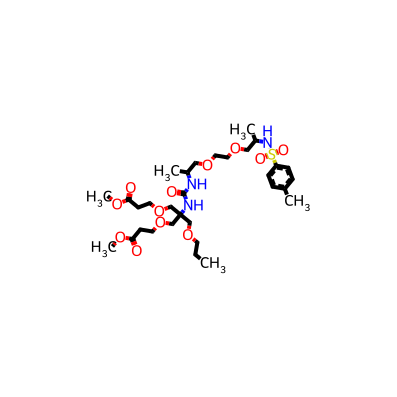 CCCOCC(COCCC(=O)OC)(COCCC(=O)OC)NC(=O)NC(C)COCCOCC(C)NS(=O)(=O)c1ccc(C)cc1